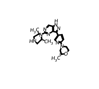 C[C@@H]1CN(c2ccc(-c3n[nH]c4cnc(N5[C@H](C)CNC[C@@H]5C)nc34)cn2)CCO1